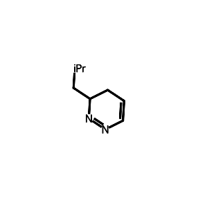 CC(C)CC1CC=CN=N1